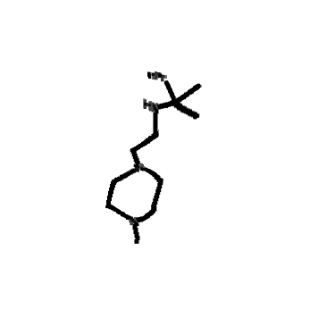 CCCC(C)(C)NCCN1CCN(C)CC1